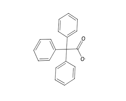 [O]C(=O)C(c1ccccc1)(c1ccccc1)c1ccccc1